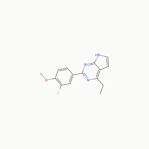 CCc1nc(-c2ccc(OC)c(F)c2)nc2[nH]ccc12